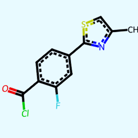 Cc1csc(-c2ccc(C(=O)Cl)c(F)c2)n1